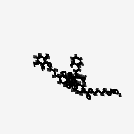 Cc1ccccc1CCN(C(=O)C1=C(c2ccc(CCCOc3c(F)ccc(F)c3F)cc2)CC2CN(C(=O)OCCCCO[N+](=O)[O-])CC1N2C(=O)OC(C)(C)C(Cl)(Cl)Cl)C1CC1